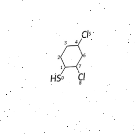 SC1CCC(Cl)CC1Cl